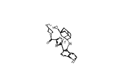 NC1CN(C(=O)c2noc(-c3cnc4[nH]ccc4c3N[C@H]3C4CC5CC3C[C@@](O)(C5)C4)n2)C1